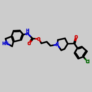 O=C(Nc1ccc2c(c1)CNC2)OCCCN1CCC(C(=O)c2ccc(Cl)cc2)CC1